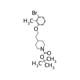 Cc1c(Br)cccc1OCCC1CCN(C(=O)OC(C)(C)C)CC1